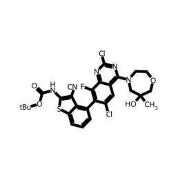 CC1(O)COCCN(c2nc(Cl)nc3c(F)c(-c4cccc5sc(NC(=O)OC(C)(C)C)c(C#N)c45)c(Cl)cc23)C1